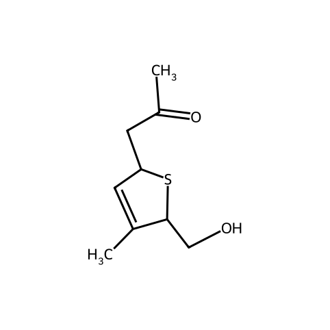 CC(=O)CC1C=C(C)C(CO)S1